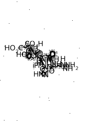 CC(C)[C@H](NC(=O)[C@H](Cc1c[nH]cn1)NC(=O)[C@@H](N)CCCNC(=N)N)C(=O)N[C@@H](Cc1c[nH]c2ccccc12)C(=O)N[C@@H](Cc1ccc(O)cc1)C(=O)NCC(=O)N[C@@H](CCC(=O)O)C(=O)O